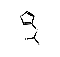 FC(F)Oc1ccsc1